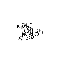 CC(C)(C)[Si](C)(C)OCc1nn(C2CCOCC2)c2c1[C@@H](c1ccc(F)cc1)[C@@H](NC(=O)c1cccc(C(F)(F)F)c1)C(=O)N2